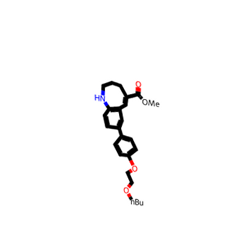 CCCCOCCOc1ccc(-c2ccc3c(c2)/C=C(/C(=O)OC)CCCN3)cc1